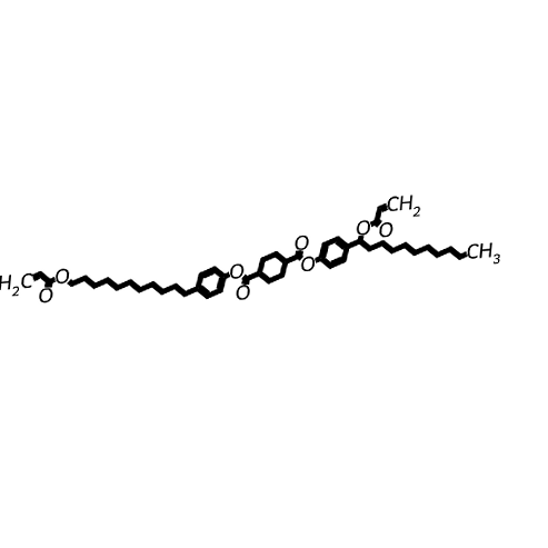 C=CC(=O)OCCCCCCCCCCCc1ccc(OC(=O)C2CCC(C(=O)Oc3ccc(C(CCCCCCCCCC)OC(=O)C=C)cc3)CC2)cc1